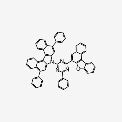 c1ccc(-c2nc(-c3cc4ccccc4c4c3oc3ccccc34)nc(-n3c4cc(-c5ccccc5)c5ccccc5c4c4c5ccccc5c(-c5ccccc5)cc43)n2)cc1